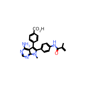 C=C(C)C(=O)Nc1ccc(-c2c(-c3ccc(C(=O)O)cc3)c3c(N)ncnc3n2C)cc1